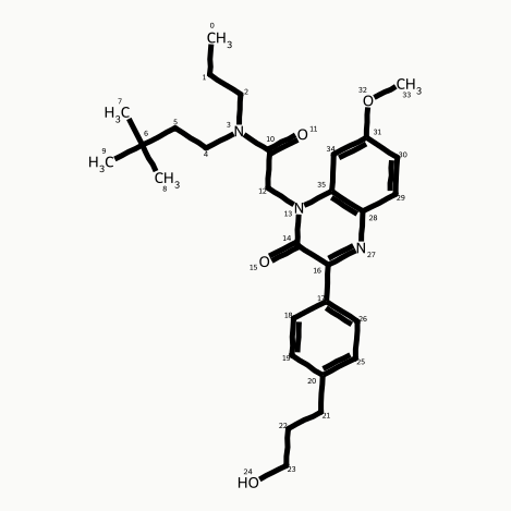 CCCN(CCC(C)(C)C)C(=O)Cn1c(=O)c(-c2ccc(CCCO)cc2)nc2ccc(OC)cc21